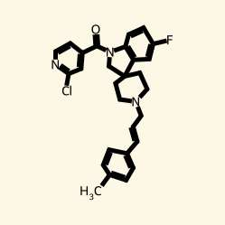 Cc1ccc(/C=C/CN2CCC3(CC2)CN(C(=O)c2ccnc(Cl)c2)c2ccc(F)cc23)cc1